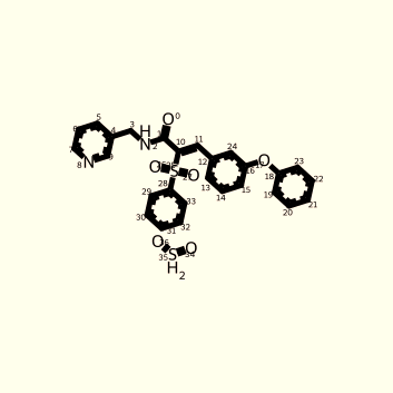 O=C(NCc1cccnc1)C(=Cc1cccc(Oc2ccccc2)c1)S(=O)(=O)c1ccccc1.O=[SH2]=O